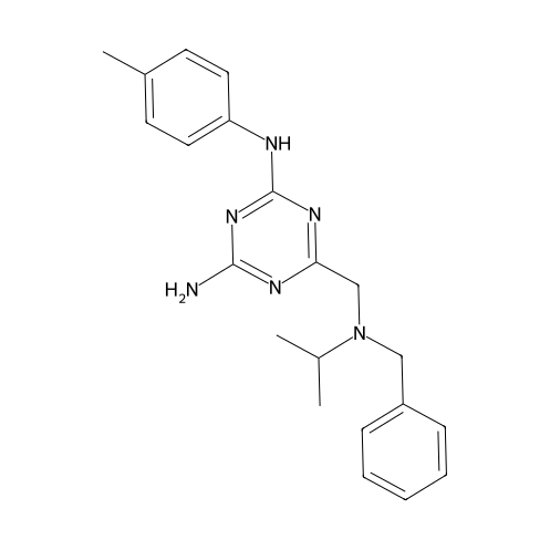 Cc1ccc(Nc2nc(N)nc(CN(Cc3ccccc3)C(C)C)n2)cc1